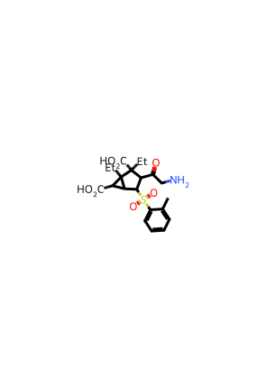 CCC1(C(=O)O)C(C(=O)CN)C(S(=O)(=O)c2ccccc2C)C2C(C(=O)O)C21CC